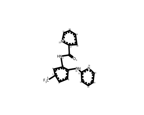 O=C(Nc1cc(C(F)(F)F)ccc1Nc1ccccn1)c1ccccn1